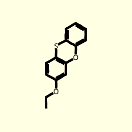 CCOc1ccc2c(c1)Oc1ccccc1S2